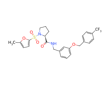 Cc1ccc(S(=O)(=O)N2CCC[C@H]2C(=O)NCc2cccc(OCc3ccc(C(F)(F)F)cc3)c2)o1